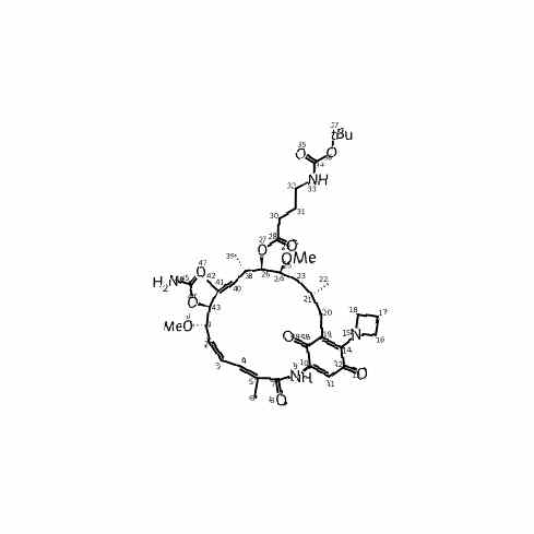 CO[C@H]1/C=C\C=C(/C)C(=O)NC2=CC(=O)C(N3CCC3)=C(C[C@@H](C)C[C@H](OC)[C@H](OC(=O)CCCNC(=O)OC(C)(C)C)[C@@H](C)/C=C(\C)[C@@H]1OC(N)=O)C2=O